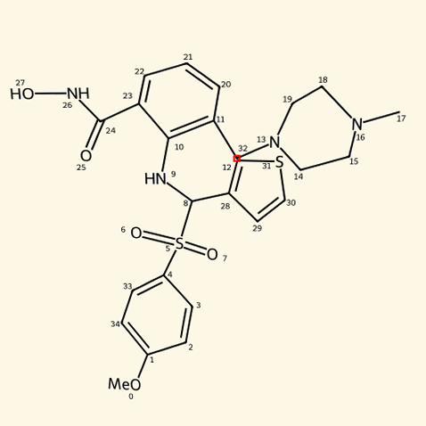 COc1ccc(S(=O)(=O)C(Nc2c(CN3CCN(C)CC3)cccc2C(=O)NO)c2ccsc2)cc1